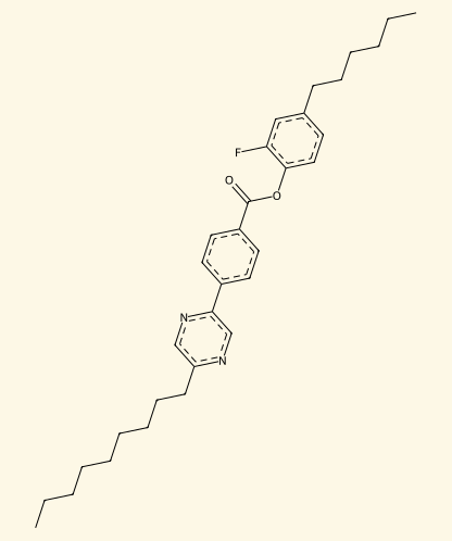 CCCCCCCCCc1cnc(-c2ccc(C(=O)Oc3ccc(CCCCCC)cc3F)cc2)cn1